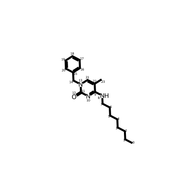 CCCCCCCCNc1nc(=O)n(Cc2ccccc2)cc1C